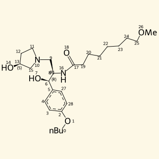 CCCCOc1ccc([C@@H](O)[C@@H](CN2CC[C@H](O)C2)NC(=O)CCCCCCCOC)cc1